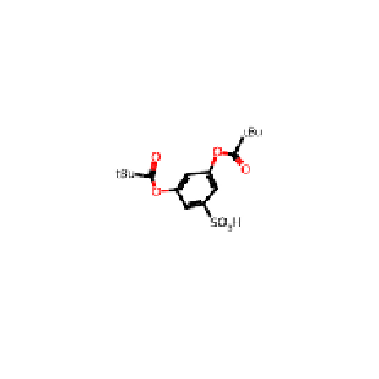 CC(C)(C)C(=O)Oc1cc(OC(=O)C(C)(C)C)cc(S(=O)(=O)O)c1